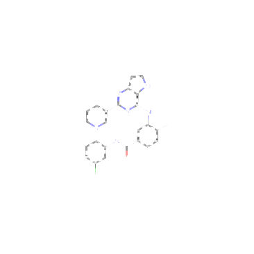 Cc1ccc(C(=O)Nc2cccc(Cl)c2)cc1Nc1nc(-c2cccnc2)nc2cc[nH]c12